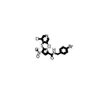 O=C(NCc1ccc(Br)cc1)c1cc([N+](=O)[O-])c(Sc2c(Cl)cncc2Cl)s1